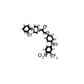 CCc1ccccc1N1CCN(C(=O)COC2CCC(Nc3ccc([N+](=O)[O-])c(C(F)(F)F)c3)CC2)CC1